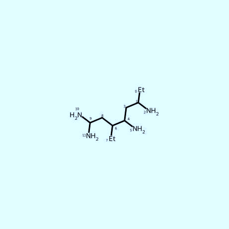 CCC(N)CC(N)C(CC)CC(N)N